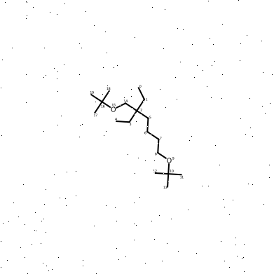 CCC(CC)(CCCCOC(C)(C)C)COC(C)(C)C